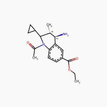 CCOC(=O)c1ccc2c(c1)[C@H](N)[C@@H](C)C(C1CC1)N2C(C)=O